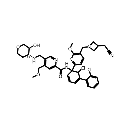 COCc1cc(C(=O)NC2(c3ccc(CN4CC(CC#N)C4)c(OC)n3)C=CC=C(c3ccccc3Cl)C2Cl)ncc1CN[C@@H]1CCOC[C@H]1O